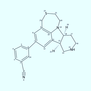 N#Cc1cccc(-c2cc3c4c(c2)[C@@H]2CNCC[C@@H]2N4CCSC3)c1